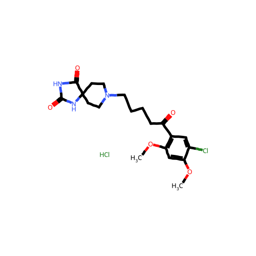 COc1cc(OC)c(C(=O)CCCCN2CCC3(CC2)NC(=O)NC3=O)cc1Cl.Cl